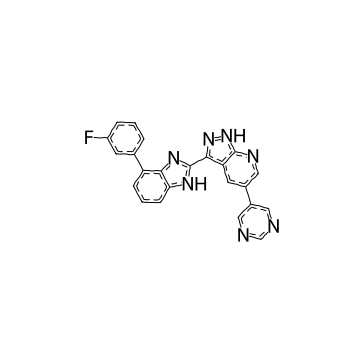 Fc1cccc(-c2cccc3[nH]c(-c4n[nH]c5ncc(-c6cncnc6)cc45)nc23)c1